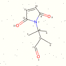 CC(C=O)C(C)(C)N1C(=O)C=CC1=O